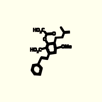 C=C(C)CCc1c(OC)cc(C=Cc2ccccc2)c(C(=O)O)c1OC(=O)C(=O)O